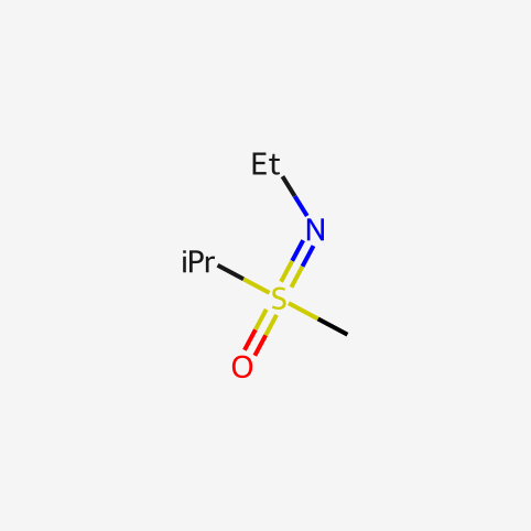 CCN=S(C)(=O)C(C)C